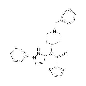 O=C(c1cccs1)N(C1CCN(Cc2ccccc2)CC1)C1C=CN(c2ccccc2)N1